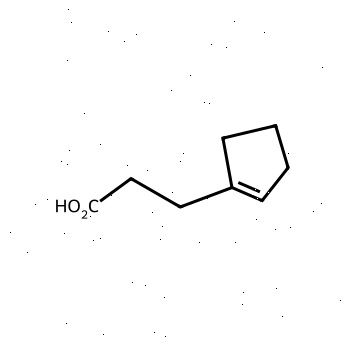 O=C(O)CCC1=CCCC1